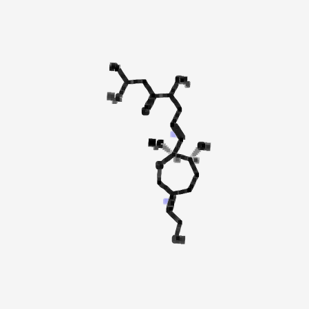 CC(C/C=C/[C@]1(C)OC/C(=C/CO)CC[C@H]1O)C(=O)CC(C)C(C)C